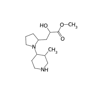 COC(=O)C(O)CC1CCCN1C1CCNCC1C